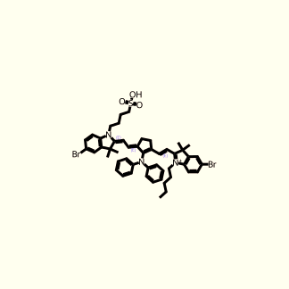 CCCCC[N+]1=C(/C=C/C2=C(N(c3ccccc3)c3ccccc3)C(=C/C=C3/N(CCCCS(=O)(=O)O)c4ccc(Br)cc4C3(C)C)/CC2)C(C)(C)c2cc(Br)ccc21